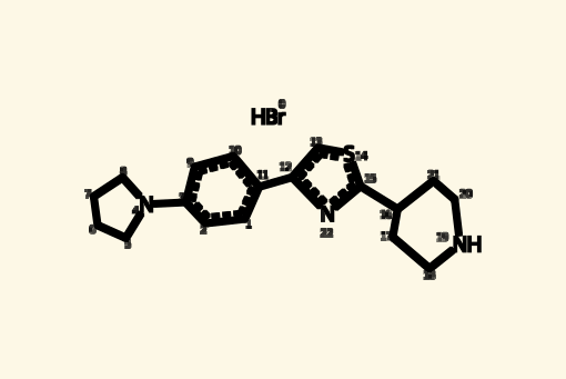 Br.c1cc(N2CCCC2)ccc1-c1csc(C2CCNCC2)n1